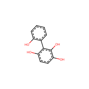 Oc1ccccc1-c1c(O)ccc(O)c1O